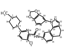 CN1CCN(c2ccc(Cl)c(C(=O)Nc3ccc4c(c3)-c3c(cnn3-c3ccc5c(c3)OCO5)CC4)n2)CC1